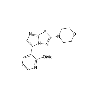 COc1ncccc1-c1cnc2sc(N3CCOCC3)nn12